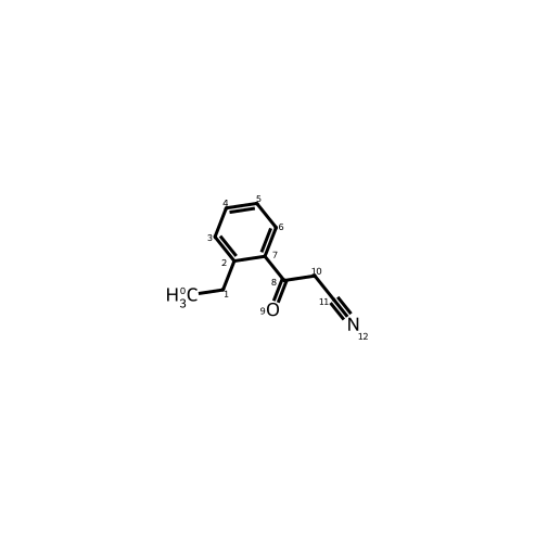 CCc1ccccc1C(=O)CC#N